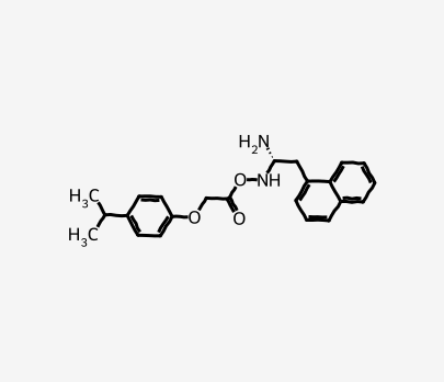 CC(C)c1ccc(OCC(=O)ON[C@H](N)Cc2cccc3ccccc23)cc1